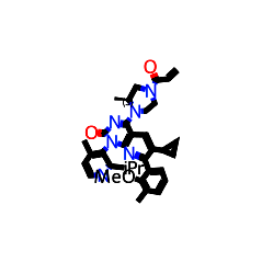 C=CC(=O)N1CCN(c2nc(=O)n(-c3c(C)ccnc3C(C)C)c3nc(-c4cccc(C)c4OC)c(C4CC4)cc23)[C@@H](C)C1